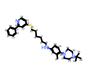 Cc1cc(NCCCCCCSc2ccnc(-c3ccccc3)c2)ccc1N1CCN(C(C)(C)C)CC1